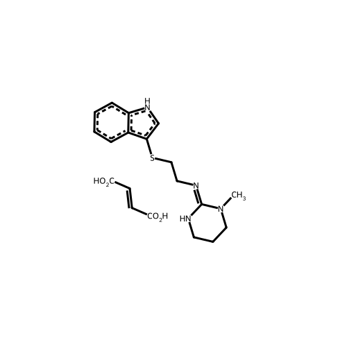 CN1CCCNC1=NCCSc1c[nH]c2ccccc12.O=C(O)C=CC(=O)O